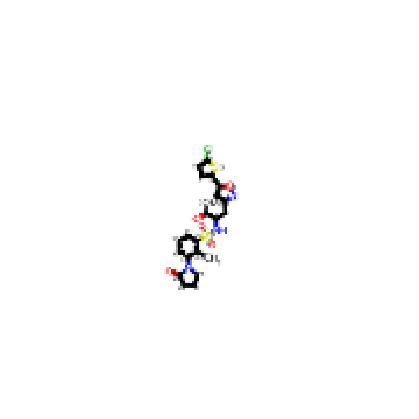 COC(=O)C(Cc1cc(-c2ccc(Cl)s2)on1)NS(=O)(=O)c1cccc(N2CCCC2=O)c1C